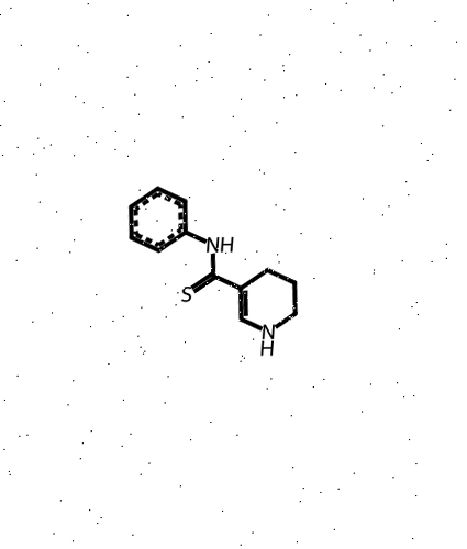 S=C(Nc1ccccc1)C1=CNCCC1